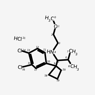 COCCNC(C(C)C)C1(c2ccc(Cl)c(Cl)c2)CCC1.Cl